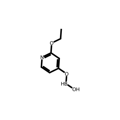 CCOc1cc(OBO)ccn1